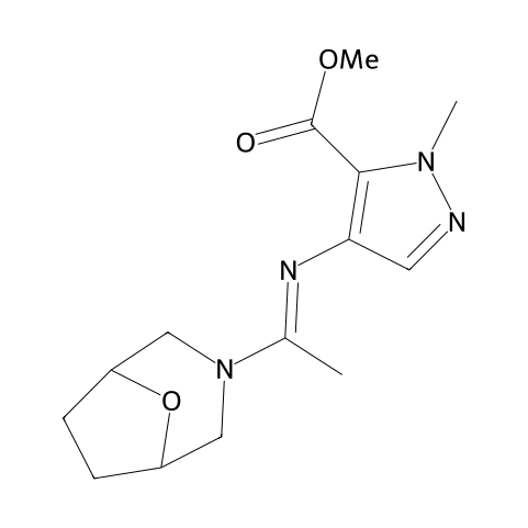 COC(=O)c1c(/N=C(\C)N2CC3CCC(C2)O3)cnn1C